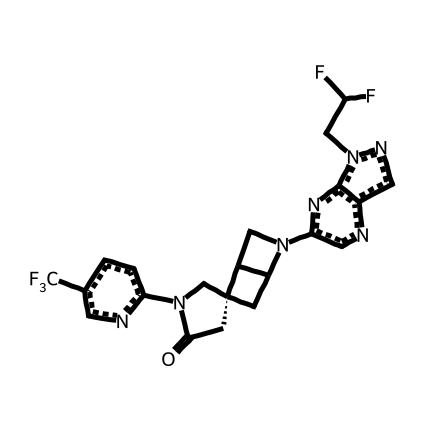 O=C1C[C@]2(CC3C2CN3c2cnc3cnn(CC(F)F)c3n2)CN1c1ccc(C(F)(F)F)cn1